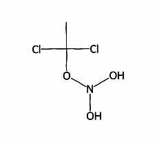 CC(Cl)(Cl)ON(O)O